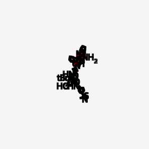 Cc1ncsc1-c1ccc(CNC(=O)[C@@H]2C[C@@H](O)CN2C(=O)[C@@H](NC(=O)[C@H]2C[C@@H](N3CCC(c4cnc(N5C6CCC5CN(c5cc(-c7ccccc7O)nnc5N)C6)nc4)CC3)C2)C(C)(C)C)cc1